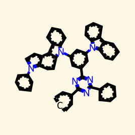 c1ccc(-c2nc(-c3ccccc3)nc(-c3cc(-n4c5ccccc5c5ccccc54)cc(-n4c5ccccc5c5c6ccn(-c7ccccc7)c6ccc54)c3)n2)cc1